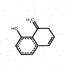 C=C1CC=Cc2cccc(O)c21